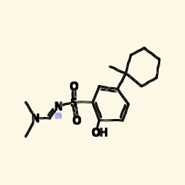 CN(C)/C=N/S(=O)(=O)c1cc(C2(C)CCCCC2)ccc1O